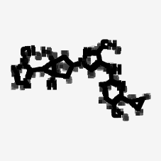 Cc1nn([C@H]2C[C@@H]3C(c4ncnn4C)[C@@H]3C2)cc1Nc1ncc(C(F)(F)F)c(C2CC2)n1